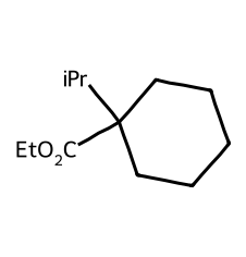 CCOC(=O)C1(C(C)C)CCCCC1